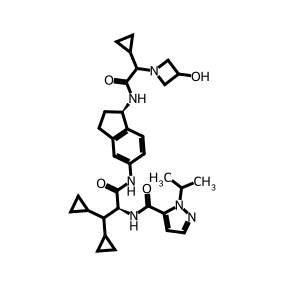 CC(C)n1nccc1C(=O)N[C@H](C(=O)Nc1ccc2c(c1)CC[C@H]2NC(=O)C(C1CC1)N1CC(O)C1)C(C1CC1)C1CC1